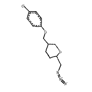 [N-]=[N+]=NCC1CCC(COc2ccc(Cl)cc2)CO1